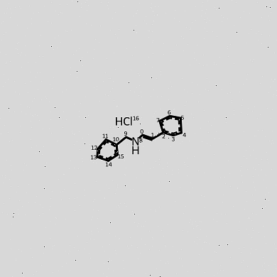 C(=Cc1ccccc1)NCc1ccccc1.Cl